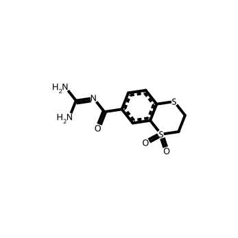 NC(N)=NC(=O)c1ccc2c(c1)S(=O)(=O)CCS2